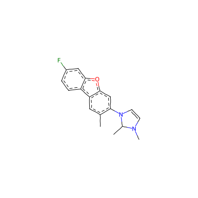 Cc1cc2c(cc1N1C=CN(C)C1C)oc1cc(F)ccc12